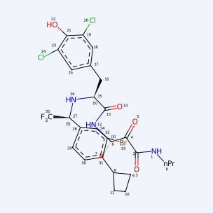 CCCNC(=O)C(=O)[C@H](CC1CCC1)NC(=O)[C@H](Cc1cc(Cl)c(O)c(Cl)c1)N[C@@H](c1cccc(Br)c1)C(F)(F)F